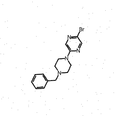 Brc1cnc(N2CCN(Cc3ccccc3)CC2)cn1